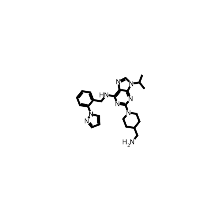 CC(C)n1cnc2c(NCc3ccccc3-n3cccn3)nc(N3CCC(CN)CC3)nc21